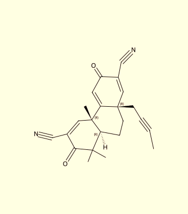 CC#CC[C@]12C=C(C#N)C(=O)C=C1[C@@]1(C)C=C(C#N)C(=O)C(C)(C)[C@@H]1CC2